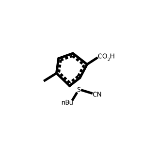 CCCCSC#N.Cc1ccc(C(=O)O)cc1